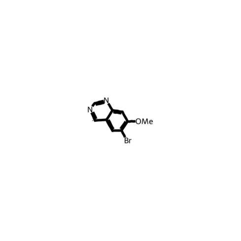 COc1cc2ncn[c]c2cc1Br